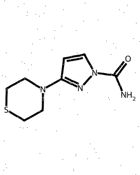 NC(=O)n1ccc(N2CCSCC2)n1